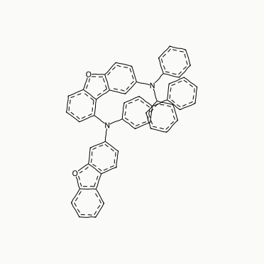 c1ccc(-c2ccc(N(c3ccc4c(c3)oc3ccccc34)c3cccc4oc5ccc(N(c6ccccc6)c6ccccc6)cc5c34)cc2)cc1